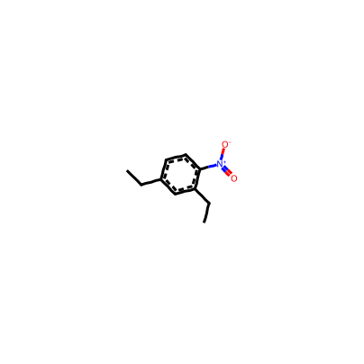 CCc1ccc([N+](=O)[O-])c(CC)c1